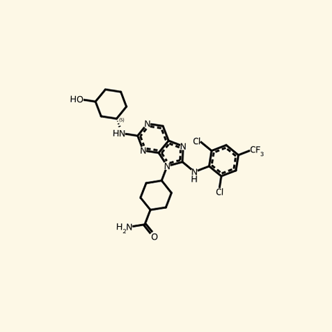 NC(=O)C1CCC(n2c(Nc3c(Cl)cc(C(F)(F)F)cc3Cl)nc3cnc(N[C@H]4CCCC(O)C4)nc32)CC1